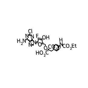 CCOC(=O)Nc1ccc(CC(OC[C@H]2O[C@@H](n3cnc4c(N)nc(Cl)nc43)[C@@H](F)[C@@H]2O)(C(=O)O)C(=O)O)cc1